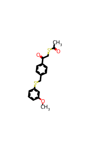 COc1cccc(SCc2ccc(C(=O)CSC(C)=O)cc2)c1